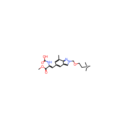 COC(=O)C(=Cc1cc(C)c2nn(COCC[Si](C)(C)C)cc2c1)NC(=O)O